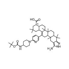 CC1(C)CC2C3=C(c4ccc(N5CCC(NC(=O)OC(C)(C)C)CC5)nc4)CC4C5(C)Cc6c(n[nH]c6N)C(C)(C)C5CCC4(C)C3(C)CCC2[C@H](C(=O)O)C1